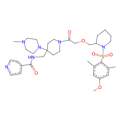 COc1cc(C)c(S(=O)(=O)N2CCCCC2COCC(=O)N2CCC(CNC(=O)c3ccncc3)(N3CCN(C)CC3)CC2)c(C)c1